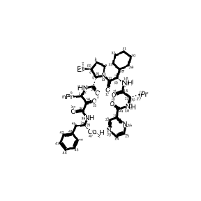 CCCC(NC(=O)[C@@H]1[C@@H](CC)CCN1C(=O)[C@@H](NC(=O)[C@@H](NC(=O)c1cnccn1)C(C)C)C1CCCCC1)C(=O)C(=O)N[C@@H](Cc1ccccc1)C(=O)O